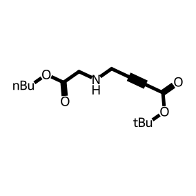 CCCCOC(=O)CNCC#CC(=O)OC(C)(C)C